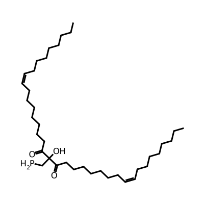 CCCCCCCC/C=C\CCCCCCCC(=O)C(O)(CP)C(=O)CCCCCCC/C=C\CCCCCCCC